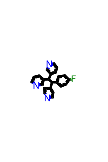 Fc1ccc(C(c2ccncc2)C(c2cccnc2)c2cccnc2)cc1